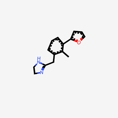 Cc1c(CC2=NCCN2)cccc1-c1ccco1